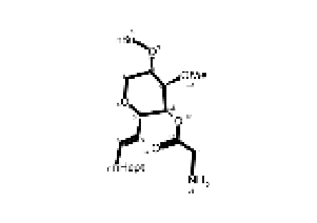 CCCCCCCC=C[C@H]1OC[C@@H](OCCCC)[C@@H](OC)[C@@H]1OC(=O)CN